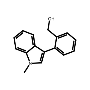 Cn1cc(-c2ccccc2CO)c2ccccc21